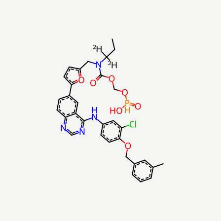 [2H]C([2H])(CC)N(Cc1ccc(-c2ccc3ncnc(Nc4ccc(OCc5cccc(C)c5)c(Cl)c4)c3c2)o1)C(=O)OCO[PH](=O)O